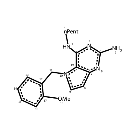 CCCCCNc1nc(N)nc2ccn(Cc3ccccc3OC)c12